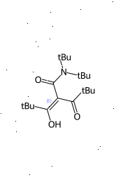 CC(C)(C)C(=O)/C(C(=O)N(C(C)(C)C)C(C)(C)C)=C(\O)C(C)(C)C